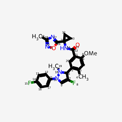 COc1cc(C)c(C2C(F)=CN(c3ccc(F)cc3)N2C)cc1C(=O)NC1(c2nc(C)no2)CC1